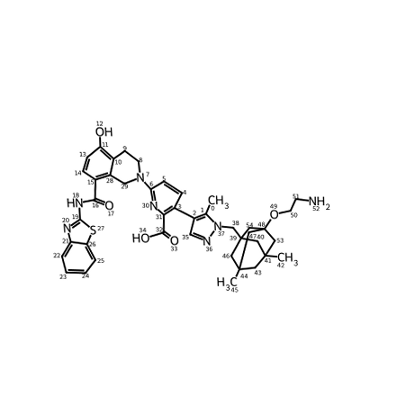 Cc1c(-c2ccc(N3CCc4c(O)ccc(C(=O)Nc5nc6ccccc6s5)c4C3)nc2C(=O)O)cnn1CC12CC3(C)CC(C)(C1)CC(OCCN)(C3)C2